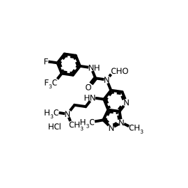 Cc1nn(C)c2ncc(N(C=O)C(=O)Nc3ccc(F)c(C(F)(F)F)c3)c(NCCN(C)C)c12.Cl